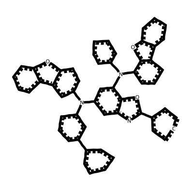 c1ccc(-c2cccc(N(c3cc(N(c4ccccc4)c4cccc5c4oc4ccccc45)c4oc(-c5ccccc5)nc4c3)c3ccc4oc5ccccc5c4c3)c2)cc1